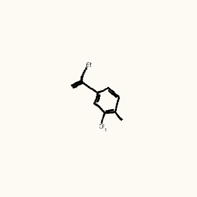 C=C(CC)c1ccc(C)c(C(F)(F)F)c1